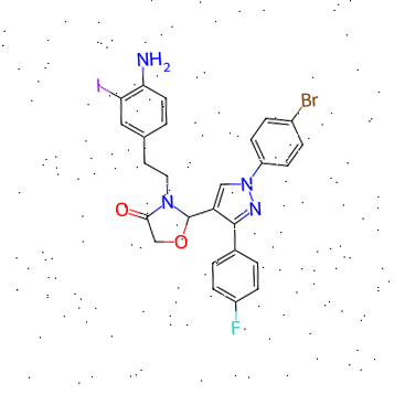 Nc1ccc(CCN2C(=O)COC2c2cn(-c3ccc(Br)cc3)nc2-c2ccc(F)cc2)cc1I